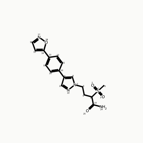 CS(=O)(=O)C(CCn1cc(-c2ccc(-c3ccno3)cc2)cn1)C(N)=O